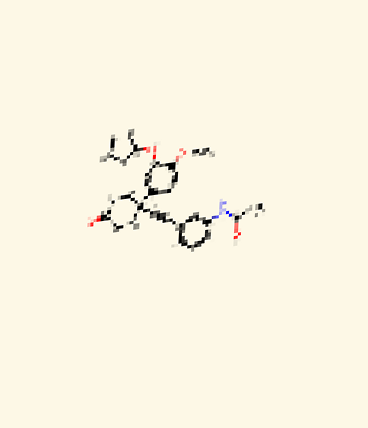 COc1ccc(C2(C#Cc3cccc(NC(C)=O)c3)CCC(=O)CC2)cc1OC1CCCC1